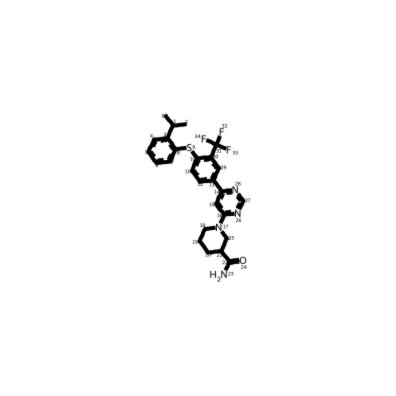 CC(C)c1ccccc1Sc1ccc(-c2cc(N3CCCC(C(N)=O)C3)ncn2)cc1C(F)(F)F